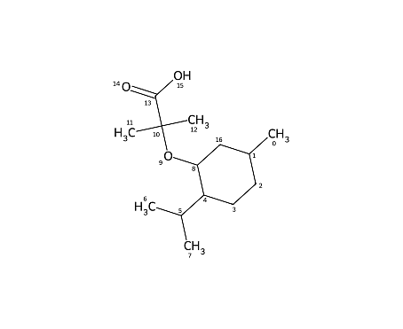 CC1CCC(C(C)C)C(OC(C)(C)C(=O)O)C1